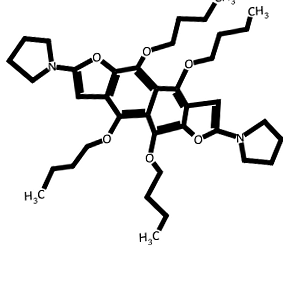 CCCCOc1c2cc(N3CCCC3)oc2c(OCCCC)c2c(OCCCC)c3cc(N4CCCC4)oc3c(OCCCC)c12